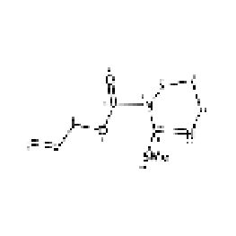 C=CCOC(=O)N1CCCN=C1SC